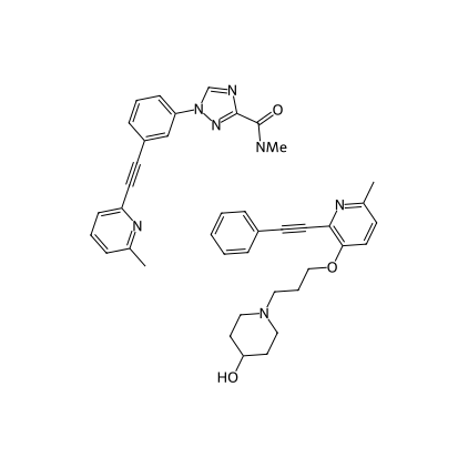 CNC(=O)c1ncn(-c2cccc(C#Cc3cccc(C)n3)c2)n1.Cc1ccc(OCCCN2CCC(O)CC2)c(C#Cc2ccccc2)n1